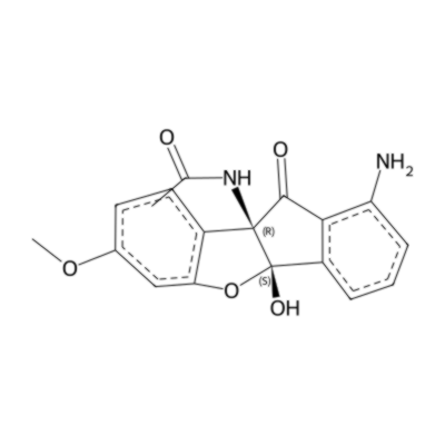 COc1ccc2c(c1)O[C@@]1(O)c3cccc(N)c3C(=O)[C@@]21NC(C)=O